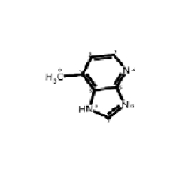 Cc1[c]cnc2nc[nH]c12